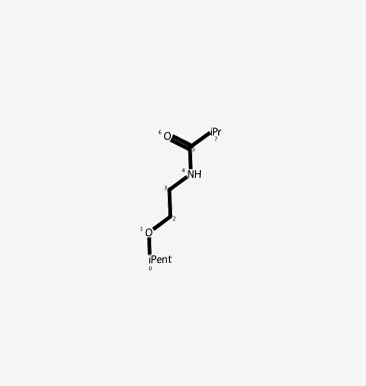 CCCC(C)OCCNC(=O)C(C)C